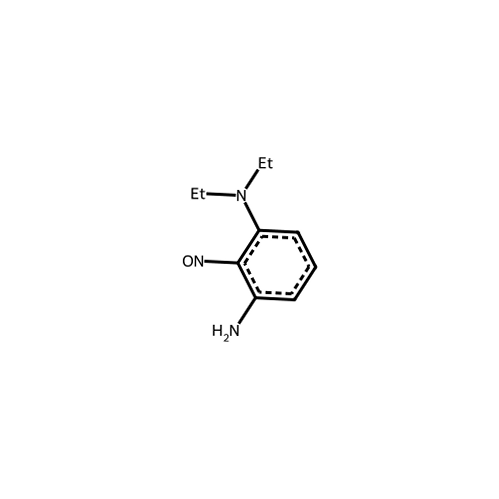 CCN(CC)c1cccc(N)c1N=O